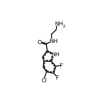 NCCNC(=O)c1cc2cc(Cl)c(F)c(F)c2[nH]1